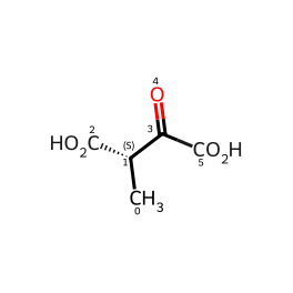 C[C@H](C(=O)O)C(=O)C(=O)O